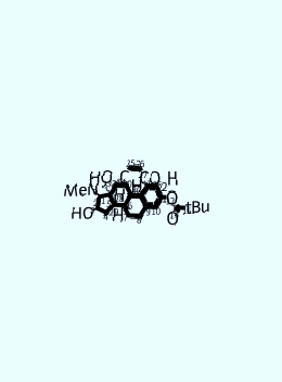 CN[C@H]1[C@H](O)C[C@H]2[C@@H]3CCc4cc(OC(=O)C(C)(C)C)ccc4[C@H]3CC[C@@]21C.O=C(O)/C=C\C(=O)O